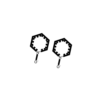 [O-][n+]1ccccc1.[O-][n+]1ccccc1